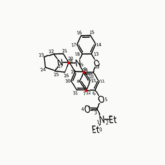 CCN(CC)C(=O)Oc1ccc2c(c1)Oc1ccccc1N2C1CC2CCC(C1)N2Cc1ccccc1